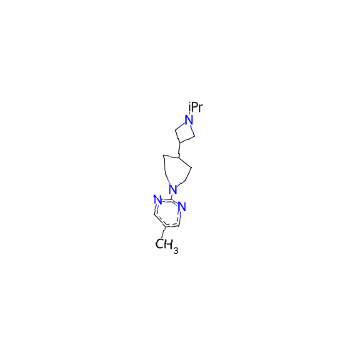 Cc1cnc(N2CCC(C3CN(C(C)C)C3)CC2)nc1